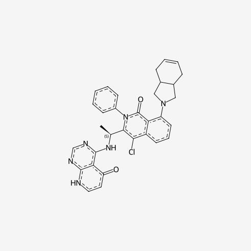 C[C@H](Nc1ncnc2[nH]ccc(=O)c12)c1c(Cl)c2cccc(N3CC4CC=CCC4C3)c2c(=O)n1-c1ccccc1